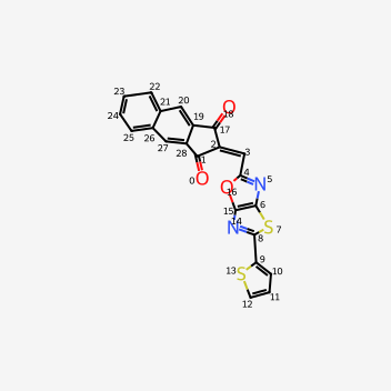 O=C1C(=Cc2nc3sc(-c4cccs4)nc3o2)C(=O)c2cc3ccccc3cc21